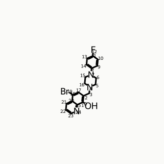 Oc1c(CN2CCN(c3ccc(F)cc3)CC2)cc(Br)c2cccnc12